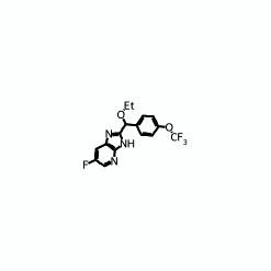 CCOC(c1ccc(OC(F)(F)F)cc1)c1nc2cc(F)cnc2[nH]1